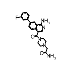 NC(=O)CN1CCN(C(=O)c2cnc(N)c3cc(-c4cccc(F)c4)ccc23)CC1